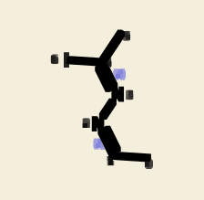 C/C=N\N=C(\C)I